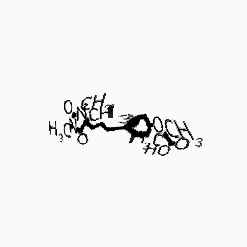 CN1C(=O)N(C)C(C)(CCCc2ccc(OC(C)(C)C(=O)O)cc2)C1=O